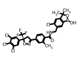 Cc1cc(C2=NO[C@@](c3cc(Cl)c(Cl)c(Cl)c3)(C(F)(F)F)C2)ccc1C(=O)NCc1cc2c(cc1Cl)C(C)(C)OB2O